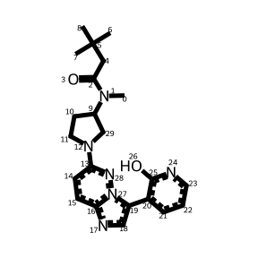 CN(C(=O)CC(C)(C)C)C1CCN(c2ccc3ncc(-c4cccnc4O)n3n2)C1